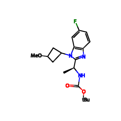 COC1CC(n2c([C@H](C)NC(=O)OC(C)(C)C)nc3ccc(F)cc32)C1